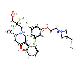 C[C@@H]1Cc2oc3ccccc3c2[C@@H](c2c(F)cc(OCCN3CC(CF)C3)cc2F)N1CC(F)(F)CO